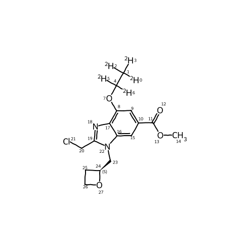 [2H]C([2H])([2H])C([2H])([2H])Oc1cc(C(=O)OC)cc2c1nc(CCl)n2C[C@@H]1CCO1